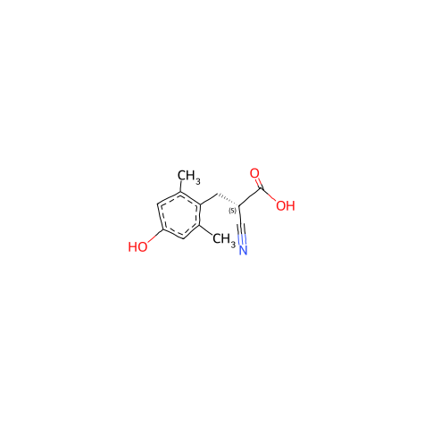 Cc1cc(O)cc(C)c1C[C@@H](C#N)C(=O)O